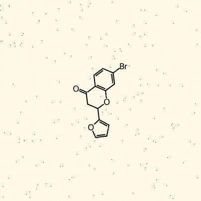 O=C1CC(c2ccco2)Oc2cc(Br)ccc21